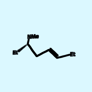 CC/C=C/C[C@H](CC)NC